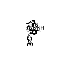 CCC(=O)N1CCN(Cc2ccc([C@H](C)Nc3nc(N4C(=O)OC[C@@H]4C(C)C)c4sccc4n3)cc2)CC1